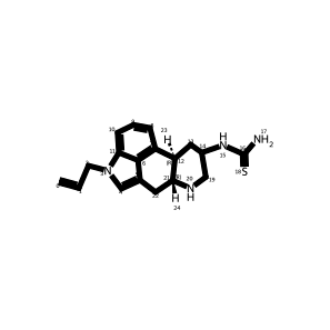 C=CCn1cc2c3c(cccc31)[C@H]1CC(NC(N)=S)CN[C@@H]1C2